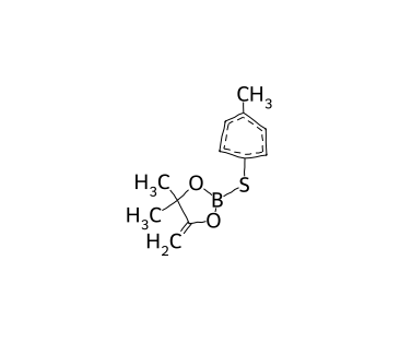 C=C1OB(Sc2ccc(C)cc2)OC1(C)C